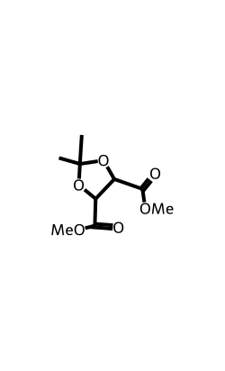 COC(=O)C1OC(C)(C)OC1C(=O)OC